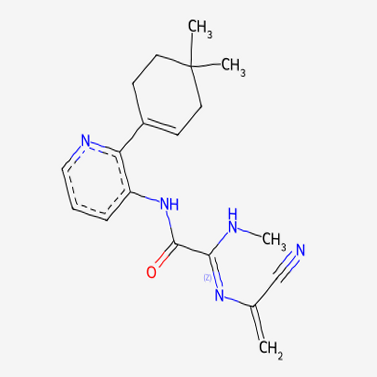 C=C(C#N)/N=C(\NC)C(=O)Nc1cccnc1C1=CCC(C)(C)CC1